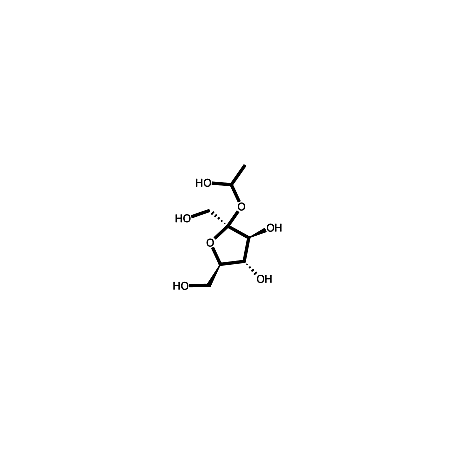 CC(O)O[C@]1(CO)O[C@H](CO)[C@@H](O)[C@@H]1O